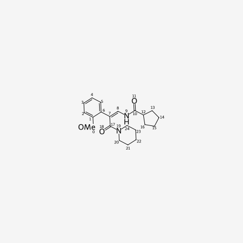 COc1ccccc1C(=CNC(=O)C1CCCC1)C(=O)N1CCCCC1